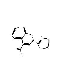 O=NC(=O)C1=CC(C2=NCCS2)Nc2ccccc21